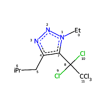 CCn1nnc(CC(C)C)c1C(Cl)(Cl)C(Cl)(Cl)Cl